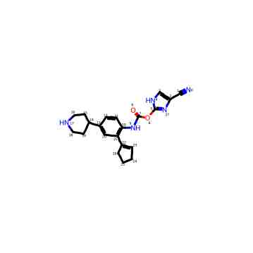 N#Cc1c[nH]c(OC(=O)Nc2ccc(C3CCNCC3)cc2C2=CCCC2)n1